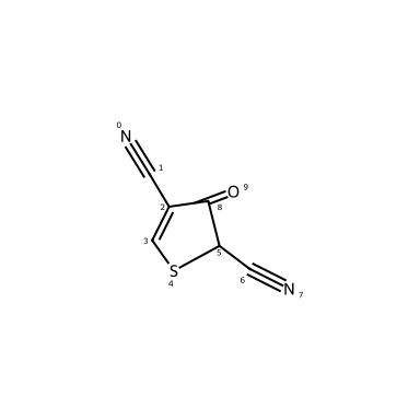 N#CC1=CSC(C#N)C1=O